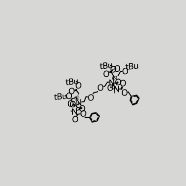 CN(C(=O)OCc1ccccc1)S(=O)(=O)N(CCOCCOCCN([C@@H](CC(=O)OC(C)(C)C)C(=O)OC(C)(C)C)S(=O)(=O)N(C)C(=O)OCc1ccccc1)[C@@H](CC(=O)OC(C)(C)C)C(=O)OC(C)(C)C